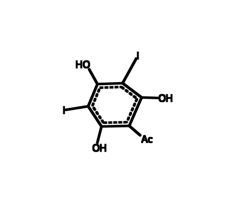 CC(=O)c1c(O)c(I)c(O)c(I)c1O